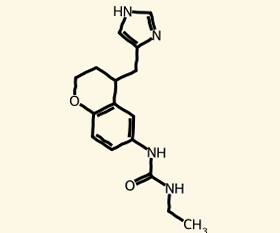 CCNC(=O)Nc1ccc2c(c1)C(Cc1c[nH]cn1)CCO2